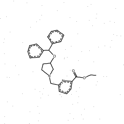 CCOC(=O)c1cccc(CN2CCC(OC(c3ccccc3)c3ccccc3)C2)n1